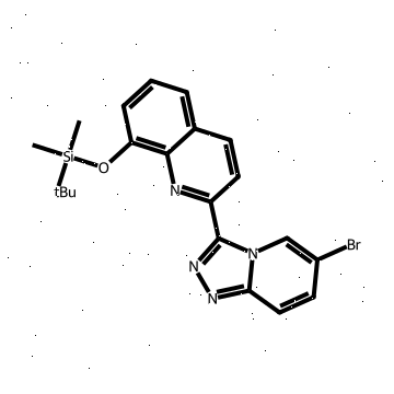 CC(C)(C)[Si](C)(C)Oc1cccc2ccc(-c3nnc4ccc(Br)cn34)nc12